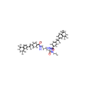 CCCNC(=O)C(CCCCNC(=O)c1ccc(/C=C(\C)c2ccc3c(c2)C(C)(C)CCC3(C)C)cc1)NC(=O)c1ccc(/C=C(\C)c2ccc3c(c2)C(C)(C)CCC3(C)C)cc1